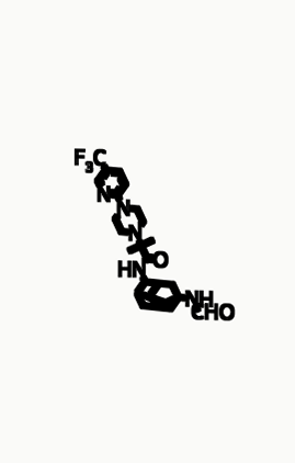 CC(C)(C(=O)NC1C2CC3CC1CC(NC=O)(C3)C2)N1CCN(c2ccc(C(F)(F)F)cn2)CC1